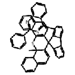 CC12Sc3c(ccc4ccccc34)C3(C1=CC=C1C=CC=CC12)c1ccccc1-c1cccc(-c2nc(-c4ccccc4)nc4ccccc24)c13